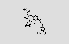 CC(C)C1c2cc(OCCc3cn4c(n3)NCCC4)ccc2CC(CC(=O)O)C(=O)N1CC(F)(F)F